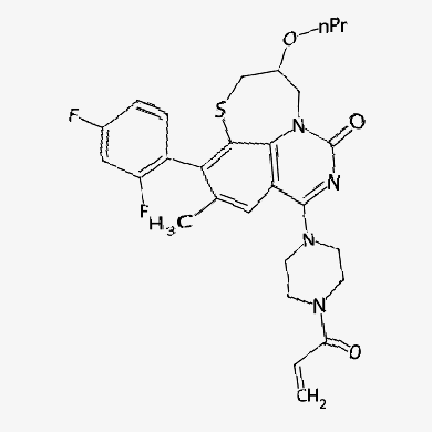 C=CC(=O)N1CCN(c2nc(=O)n3c4c(c(-c5ccc(F)cc5F)c(C)cc24)SCC(OCCC)C3)CC1